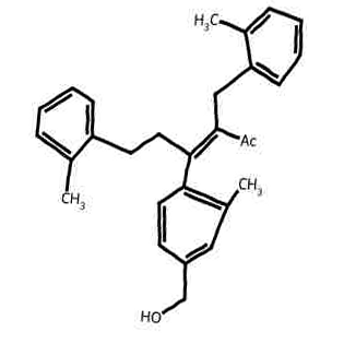 CC(=O)/C(Cc1ccccc1C)=C(/CCc1ccccc1C)c1ccc(CO)cc1C